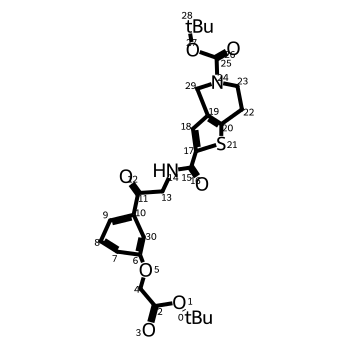 CC(C)(C)OC(=O)COc1cccc(C(=O)CNC(=O)c2cc3c(s2)CCN(C(=O)OC(C)(C)C)C3)c1